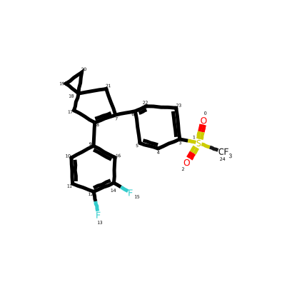 O=S(=O)(c1ccc(C2=C(c3ccc(F)c(F)c3)CC3(CC3)C2)cc1)C(F)(F)F